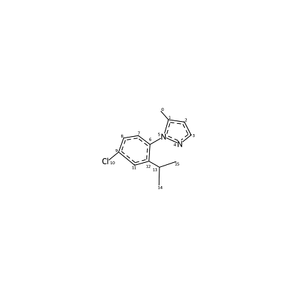 Cc1ccnn1-c1ccc(Cl)cc1C(C)C